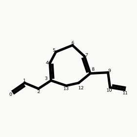 C=CC/C1=C/CC/C=C(/CC=C)CC1